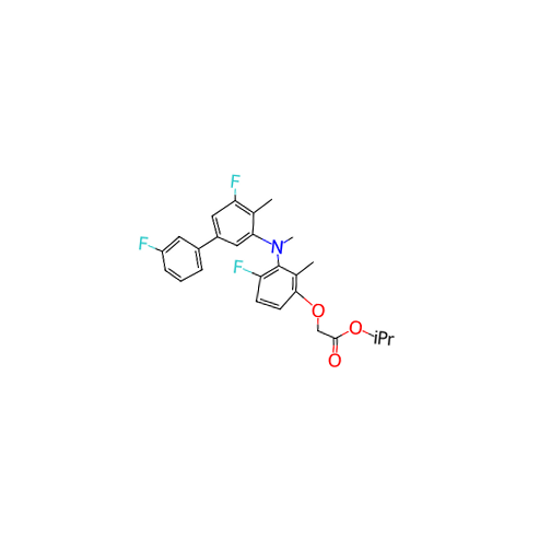 Cc1c(F)cc(-c2cccc(F)c2)cc1N(C)c1c(F)ccc(OCC(=O)OC(C)C)c1C